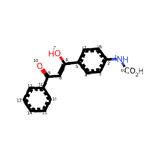 O=C(O)Nc1ccc(/C(O)=C/C(=O)c2ccccc2)cc1